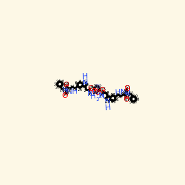 NC(Cc1c[nH]c2ccc(CCC3NC(=O)N(Cc4ccccc4)C3=O)cc12)OC(=O)/C=C\C(=O)OC(N)Cc1c[nH]c2ccc(CCC3NC(=O)N(Cc4ccccc4)C3=O)cc12